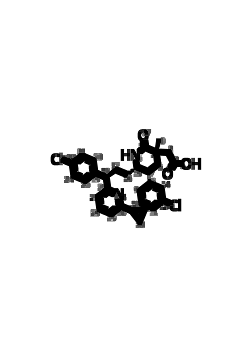 C[C@@]1(CC(=O)O)C[C@H](c2cccc(Cl)c2)[C@H](CC[C@H](c2ccc(Cl)cc2)c2cccc(C3CC3)n2)NC1=O